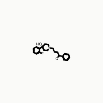 O=C(CCCN1CCC(O)(c2ccccc2F)CC1)c1ccccc1